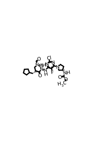 COC(=O)N[C@H]1CCN(c2nc(Cl)nc(NNC(=O)[C@H](CC3CCCC3)CN(O)C=O)c2F)C1